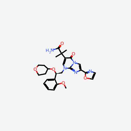 COc1ccccc1[C@H](Cn1cc(C(C)(C)C(N)=O)c(=O)n2cc(-c3ncco3)nc12)OC1CCOCC1